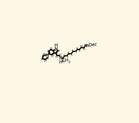 C=C(CCCCCCCCCCCCCCCCCCCCC)NCCC1=CNC2CC=C(N3CCCCC3)C=C12